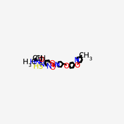 Cc1ccc(Oc2ccc(OCC3CCN(C(=O)Oc4ccc(N(S)C(=O)NC(C)(C)C)cn4)CC3)cc2)nc1